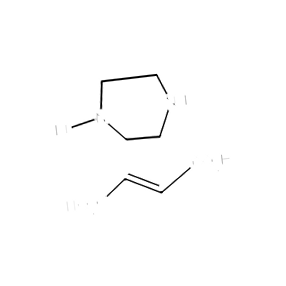 CCN1CCNCC1.O=C(O)/C=C/C(=O)O